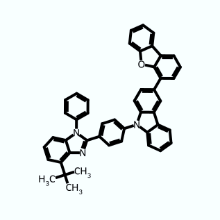 CC(C)(C)c1cccc2c1nc(-c1ccc(-n3c4ccccc4c4cc(-c5cccc6c5oc5ccccc56)ccc43)cc1)n2-c1ccccc1